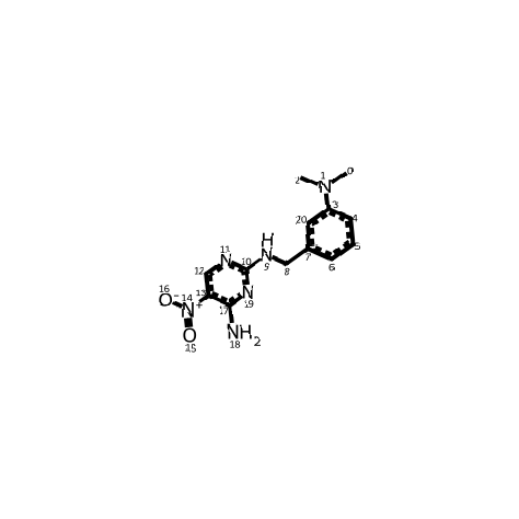 CN(C)c1cccc(CNc2ncc([N+](=O)[O-])c(N)n2)c1